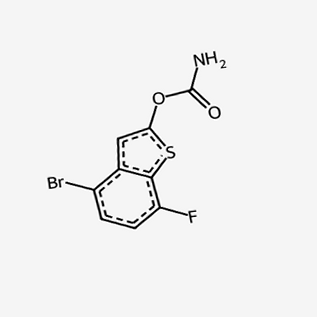 NC(=O)Oc1cc2c(Br)ccc(F)c2s1